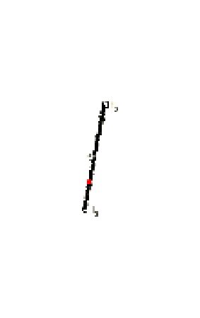 CCCCCCCCCCCCCCCCCCCCC[Si]CCCCCCCCCCCCCCCCCCCCC